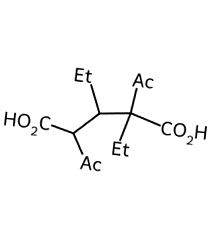 CCC(C(C(C)=O)C(=O)O)C(CC)(C(C)=O)C(=O)O